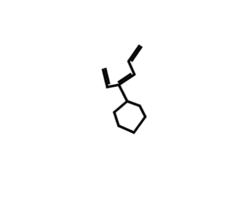 C=C/C=C(\C=C)C1CCCCC1